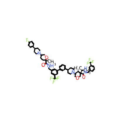 CC(C)[C@@]1(C(=O)NCc2cccc(C(F)(F)F)c2)COC[C@H](N2CCC(c3cccc(-c4cc(CNC(=O)[C@@]5(C)CC[C@@H](N6CCC(c7ccc(F)cc7)CC6)CO5)cc(C(F)(F)F)c4)c3)CC2)C1